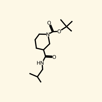 CC(C)CNC(=O)C1CCCN(C(=O)OC(C)(C)C)C1